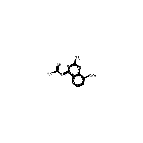 COc1cccc2/c(=N/C(C)=N)[nH]c(N)nc12